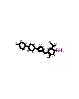 CC1=C(CC2=CC(C3CCC(C4CCC(C)CC4)CC3)=CC2)CC(C(C)C)C(P)C1